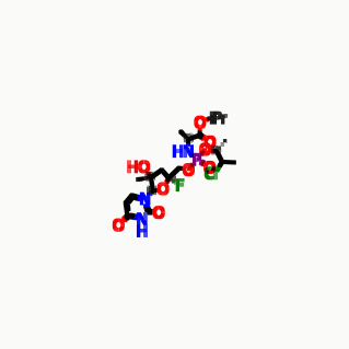 CC(C)OC(=O)[C@H](C)NP(=O)(OC[C@]1(F)C[C@@](C)(O)[C@H](n2ccc(=O)[nH]c2=O)O1)O[C@H](C)C(C)Cl